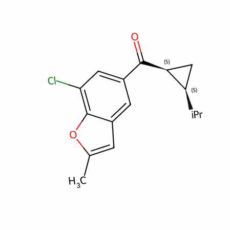 Cc1cc2cc(C(=O)[C@H]3C[C@H]3C(C)C)cc(Cl)c2o1